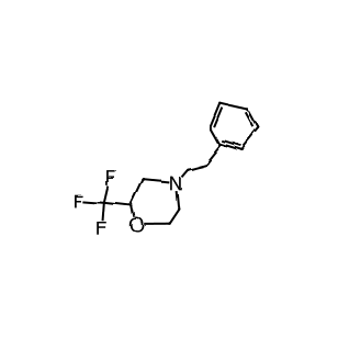 FC(F)(F)C1CN(CCc2ccccc2)CCO1